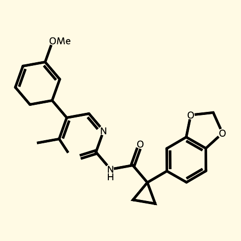 C=C(/N=C\C(=C(C)C)C1C=C(OC)C=CC1)NC(=O)C1(c2ccc3c(c2)OCO3)CC1